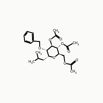 CC(=O)OC[C@H]1O[C@H](CC(C)C)[C@H](OCc2ccccc2)[C@@H](OC(C)=O)[C@@H]1OC(C)=O